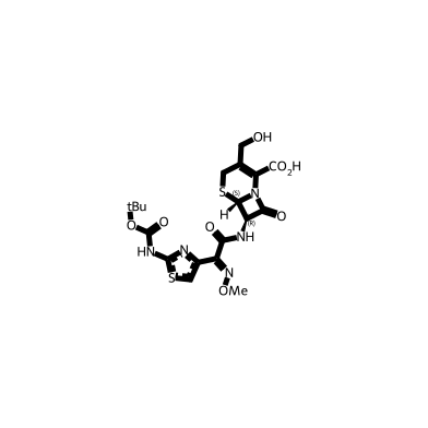 CON=C(C(=O)N[C@@H]1C(=O)N2C(C(=O)O)=C(CO)CS[C@@H]12)c1csc(NC(=O)OC(C)(C)C)n1